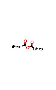 CCCCCCC(=O)OC(=O)C(C)CCC